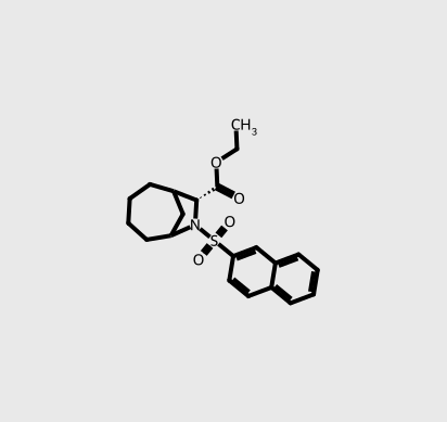 CCOC(=O)[C@H]1C2CCCCC(C2)N1S(=O)(=O)c1ccc2ccccc2c1